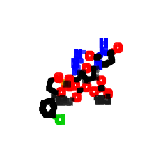 CC(C)(C)OC(=O)O[C@H]1[C@H](n2ccc(=O)[nH]c2=O)O[C@@](CO[P@@]2(=O)OCC[C@@H](c3cccc(Cl)c3)O2)(N=[N+]=[N-])[C@H]1OC(=O)OC(C)(C)C